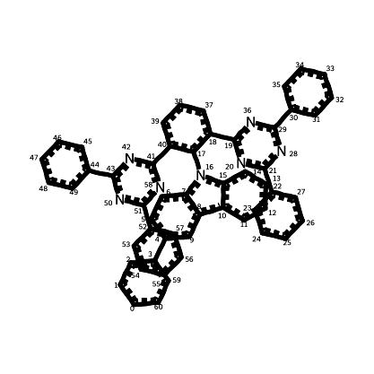 c1ccc(-c2ccc3c(c2)c2ccccc2n3-c2c(-c3nc(-c4ccccc4)nc(-c4ccccc4)n3)cccc2-c2nc(-c3ccccc3)nc(-c3ccccc3)n2)cc1